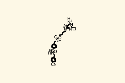 N#Cc1ccc(CNS(=O)(=O)c2ccc(CNC(=O)OCCCCn3cnc4c(N)nc(Cl)nc43)cc2)cc1